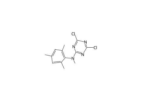 Cc1cc(C)c(N(C)c2nc(Cl)nc(Cl)n2)c(C)c1